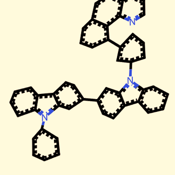 c1ccc(-n2c3ccccc3c3ccc(-c4ccc5c6ccccc6n(-c6cccc(-c7cccc8ccc9cccnc9c78)c6)c5c4)cc32)cc1